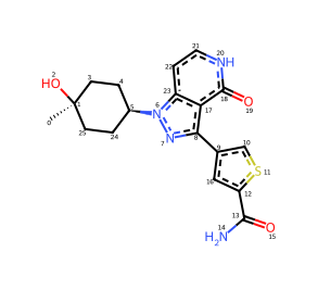 C[C@]1(O)CC[C@@H](n2nc(-c3csc(C(N)=O)c3)c3c(=O)[nH]ccc32)CC1